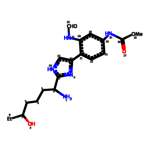 CCC(O)CCCC(N)c1nc(-c2ccc(NC(=O)OC)cc2NC=O)c[nH]1